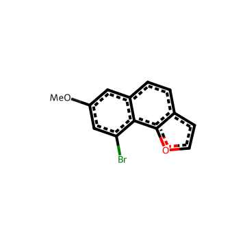 COc1cc(Br)c2c(ccc3ccoc32)c1